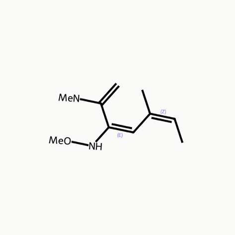 C=C(NC)/C(=C\C(C)=C/C)NOC